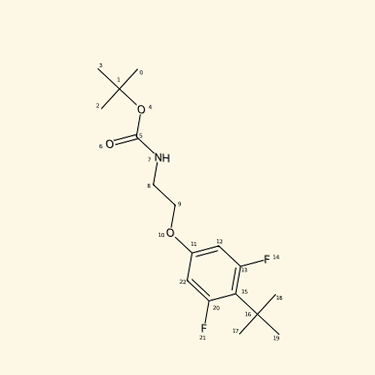 CC(C)(C)OC(=O)NCCOc1cc(F)c(C(C)(C)C)c(F)c1